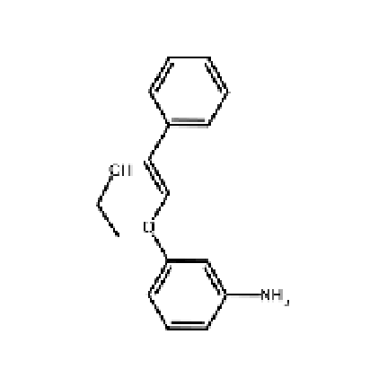 CCO.Nc1cccc(OC=Cc2ccccc2)c1